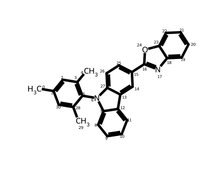 Cc1cc(C)c(-n2c3ccccc3c3cc(-c4nc5ccccc5o4)ccc32)c(C)c1